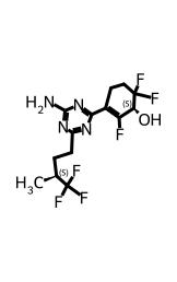 C[C@@H](CCc1nc(N)nc(C2=C(F)[C@H](O)C(F)(F)CC2)n1)C(F)(F)F